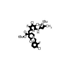 Cc1cc(Nc2nc(CC3(C(=O)OC(C)(C)C)CCN(Cc4cccc(Cl)c4F)C(C)C3)c(F)c(Cl)c2Cl)nn1C(C)(C)C